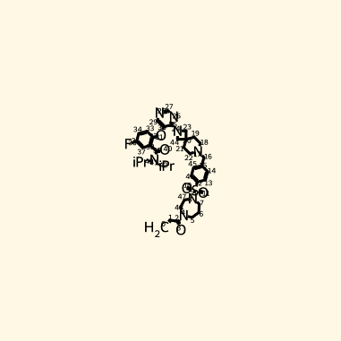 C=CC(=O)N1CCCN(S(=O)(=O)c2ccc(CN3CCC4(CC3)CN(c3ncncc3Oc3ccc(F)cc3C(=O)N(C(C)C)C(C)C)C4)cc2)CC1